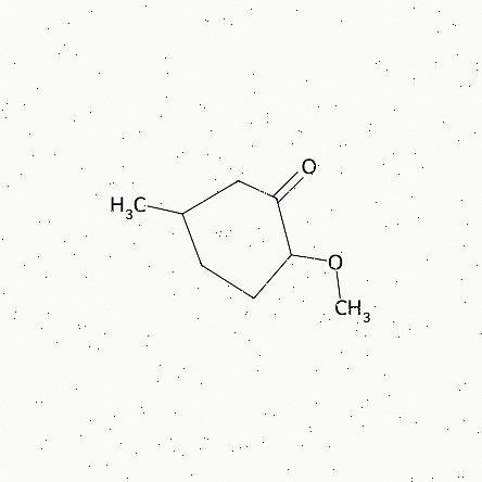 COC1CCC(C)CC1=O